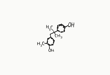 Cc1cc(CC(C)(C)c2ccc(O)cc2)ccc1O